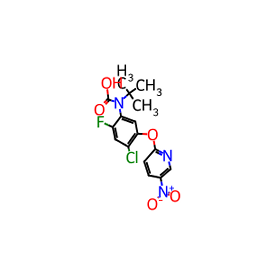 CC(C)(C)N(C(=O)O)c1cc(Oc2ccc([N+](=O)[O-])cn2)c(Cl)cc1F